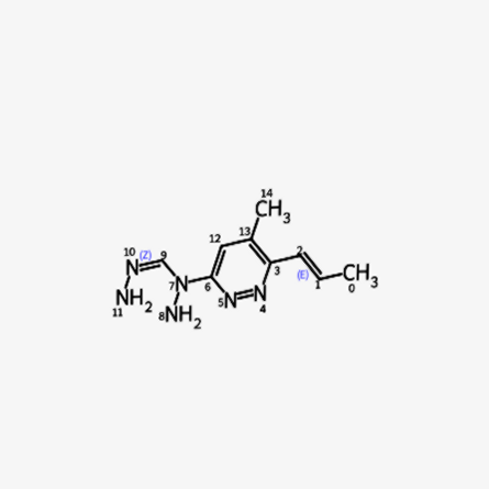 C/C=C/c1nnc(N(N)/C=N\N)cc1C